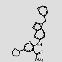 COC(=O)c1cc(C2CCCC2)cnc1Nc1ccc2c(ccn2Cc2ccccc2)c1